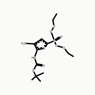 CCOOP(=O)(OOCC)c1cc(N)c(NC(=O)OC(C)(C)C)s1